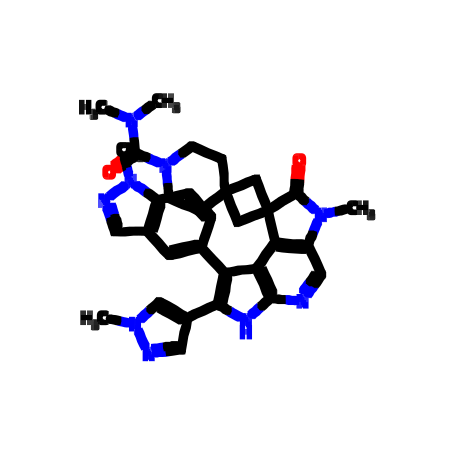 CN(C)C(=O)N1CCC2(CC1)CC1(C2)C(=O)N(C)c2cnc3[nH]c(-c4cnn(C)c4)c(-c4ccc5c(cnn5C)c4)c3c21